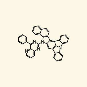 c1ccc(-c2nc(-n3c4cc5c6ccccc6n6c7ccccc7c(c4c4ccc7ccccc7c43)c56)nc3cccnc23)cc1